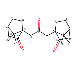 CC1(C)C2CCC1(CC(=O)CC13CCC(CC1=O)C3(C)C)C(=O)C2